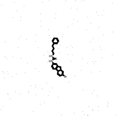 S=C(NCCCCc1ccccc1)Nc1ccc2c(c1)CC1C=C(Br)C=CC21